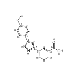 CCc1ccc(-c2cn(C3=CCCC(C(=O)O)=C3)nn2)cc1